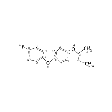 CCC(C)Oc1ccc(Oc2ccc(F)cc2)cc1